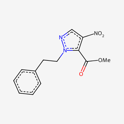 COC(=O)c1c([N+](=O)[O-])cnn1CCc1ccccc1